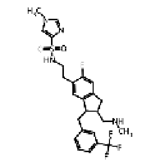 CNCC1Cc2cc(F)c(CCNS(=O)(=O)c3cn(C)cn3)cc2C1Cc1cccc(C(F)(F)F)c1